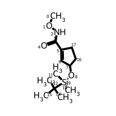 CONC(=O)C1=CC(O[Si](C)(C)C(C)(C)C)CC1